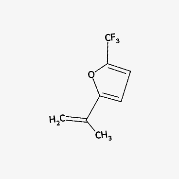 C=C(C)c1ccc(C(F)(F)F)o1